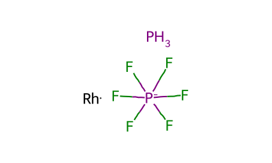 F[P-](F)(F)(F)(F)F.P.[Rh]